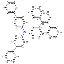 c1ccc(-c2ccc(N(c3ccc(-c4ccccc4)cc3)c3ccc(-c4ccccc4)c(-c4cccc5ccccc45)c3)cc2)cc1